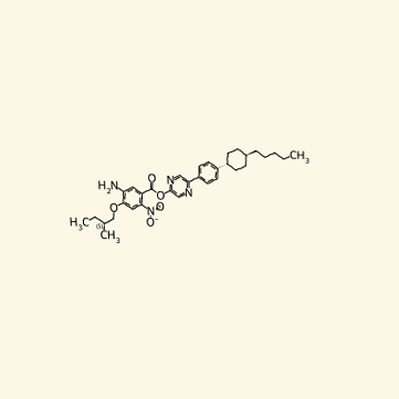 CCCCC[C@H]1CC[C@H](c2ccc(-c3cnc(OC(=O)c4cc(N)c(OC[C@@H](C)CC)cc4[N+](=O)[O-])cn3)cc2)CC1